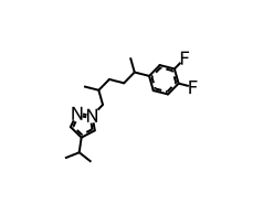 CC(CCC(C)c1ccc(F)c(F)c1)Cn1cc(C(C)C)cn1